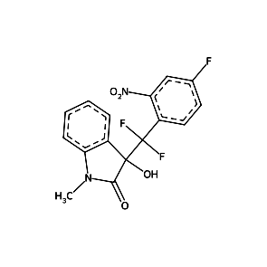 CN1C(=O)C(O)(C(F)(F)c2ccc(F)cc2[N+](=O)[O-])c2ccccc21